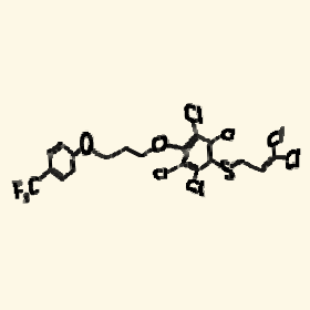 FC(F)(F)c1ccc(OCCCOc2c(Cl)c(Cl)c(SCC=C(Cl)Cl)c(Cl)c2Cl)cc1